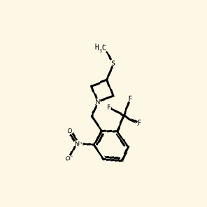 CSC1CN(Cc2c([N+](=O)[O-])cccc2C(F)(F)F)C1